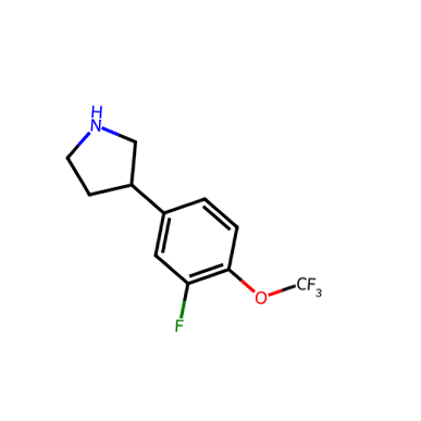 Fc1cc(C2CCNC2)ccc1OC(F)(F)F